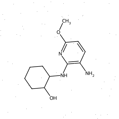 COc1ccc(N)c(NC2CCCCC2O)n1